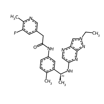 CCn1cc2ncc(N[C@@H](C)c3cc(NC(=O)Cc4cnc(C)c(F)c4)ccc3C)nc2n1